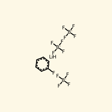 F[B-](F)(F)F.F[B-](F)(F)F.F[B-](F)(F)F.Fc1ccccc1.[LiH]